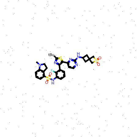 CN1CCc2c1cccc2S(=O)(=O)Nc1cccc(-c2nc(C(C)(C)C)sc2-c2ccnc(NC3CC4(C3)CS(=O)(=O)C4)n2)c1F